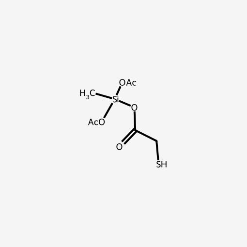 CC(=O)O[Si](C)(OC(C)=O)OC(=O)CS